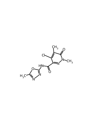 Cc1nnc(NC(=O)c2nn(C)c(=O)c(C)c2Cl)o1